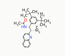 CC[C@H](c1ccc2ccccc2n1)[C@H](NC(C)=O)c1cc(C(C)(C)C)cc(C(C)(C)C)c1